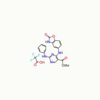 COC(=O)c1cnc(Nc2ccccc2)nc1Nc1ccc2oc(=O)[nH]c2c1.O=C(O)C(F)(F)F